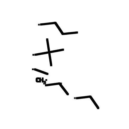 C[CH]C.[CH2]C.[CH2]C(C)(C)C.[CH2]CC.[CH2]CCC.[CH3]